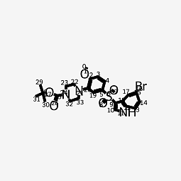 COc1ccc(S(=O)(=O)c2c[nH]c3ccc(Br)cc23)cc1N1CCN(C(=O)OC(C)(C)C)CC1